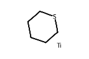 C1CCSCC1.[Ti]